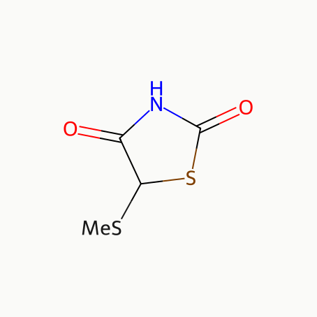 CSC1SC(=O)NC1=O